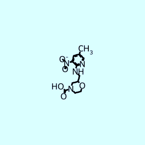 Cc1cnc(NCC2CN(C(=O)O)CCO2)c([N+](=O)[O-])c1